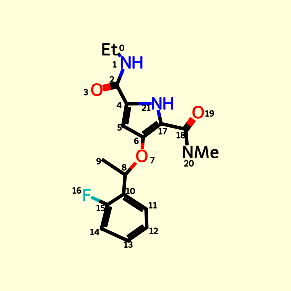 CCNC(=O)c1cc(OC(C)c2ccccc2F)c(C(=O)NC)[nH]1